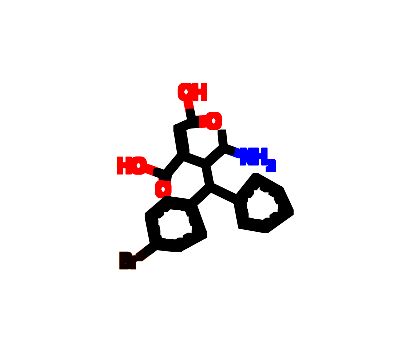 CC(N)C(/C(=C\C(=O)O)C(=O)O)C(c1ccccc1)c1ccc(Br)cc1